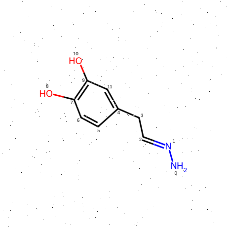 NN=CCc1ccc(O)c(O)c1